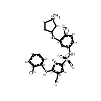 CN1CCC(Oc2cc(NS(=O)(=O)c3cc(Br)c(Sc4ccccc4Cl)s3)ccc2C(F)(F)F)C1